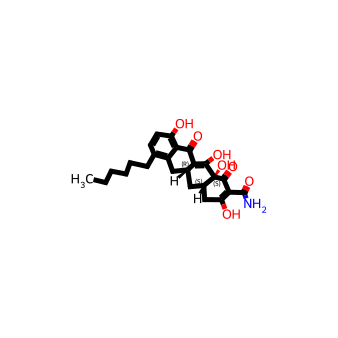 CCCCCCc1ccc(O)c2c1C[C@H]1C[C@H]3CC(O)=C(C(N)=O)C(=O)[C@@]3(O)C(O)=C1C2=O